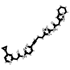 O=C(Cc1cc(C2CC2)ccn1)Nc1ccc(C#CCCc2nnc(NC(=O)Cc3cc4n(n3)CCCC4)s2)nn1